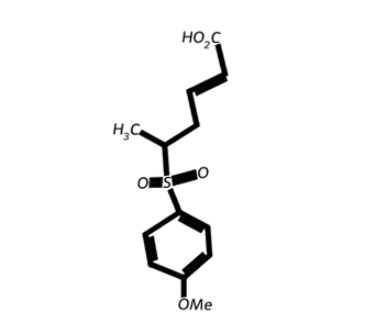 COc1ccc(S(=O)(=O)C(C)CC=CC(=O)O)cc1